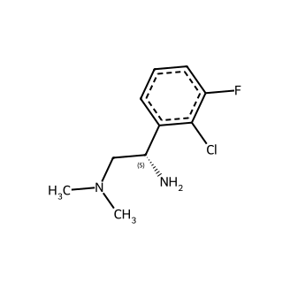 CN(C)C[C@@H](N)c1cccc(F)c1Cl